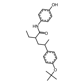 CCC(CC(C)c1ccc(OC(C)(C)C)cc1)C(=O)Nc1ccc(O)cc1